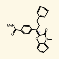 CNC(=O)c1ccc(/C(CCc2ccccc2)=C2\Oc3ccccc3N(C)C2=O)cc1